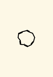 [C]1=C/C=C\CC/C=C/C=C\C/C=C/1